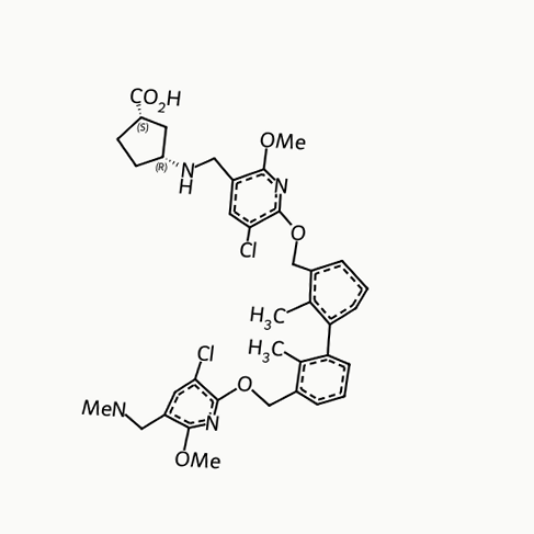 CNCc1cc(Cl)c(OCc2cccc(-c3cccc(COc4nc(OC)c(CN[C@@H]5CC[C@H](C(=O)O)C5)cc4Cl)c3C)c2C)nc1OC